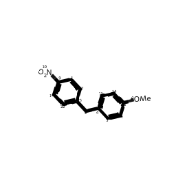 COc1ccc([CH]c2ccc([N+](=O)[O-])cc2)cc1